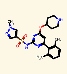 Cc1cccc(C)c1-c1cc(OC2CCNCC2)nc(NS(=O)(=O)c2cnn(C)c2)n1